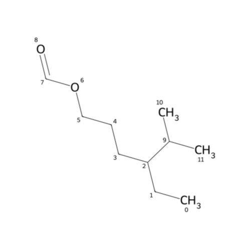 CCC(CCCOC=O)C(C)C